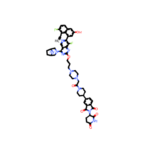 C#Cc1c(F)ccc2cc(O)cc(-c3ncc4c(N5CC6CCC(C5)N6)nc(OCCCN5CCN(CC(=O)N6CCC(c7ccc8c(c7)C(=O)N(C7CCC(=O)NC7=O)C8=O)CC6)CC5)nc4c3F)c12